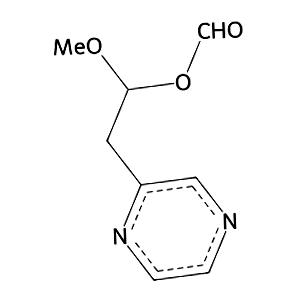 COC(Cc1cnccn1)OC=O